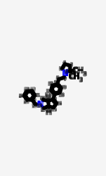 CC1(C)CCCN1CCc1ccc(C2=CC[C@H]3CN(Cc4ccccc4)C[C@@H]23)cc1